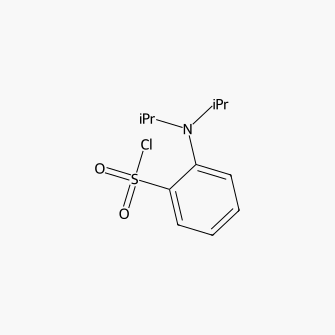 CC(C)N(c1ccccc1S(=O)(=O)Cl)C(C)C